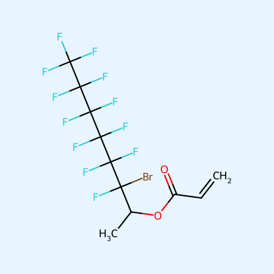 C=CC(=O)OC(C)C(F)(Br)C(F)(F)C(F)(F)C(F)(F)C(F)(F)C(F)(F)F